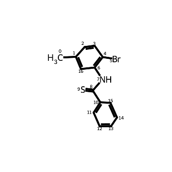 Cc1ccc(Br)c(NC(=S)c2ccccc2)c1